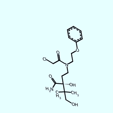 CC(C)(CO)[C@](O)(CCN(CCOc1ccccc1)C(=O)CCl)C(N)=O